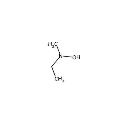 [CH2]N(O)CC